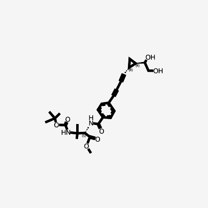 COC(=O)[C@@H](NC(=O)c1ccc(C#CC#C[C@@H]2C[C@H]2C(O)CO)cc1)C(C)(C)NC(=O)OC(C)(C)C